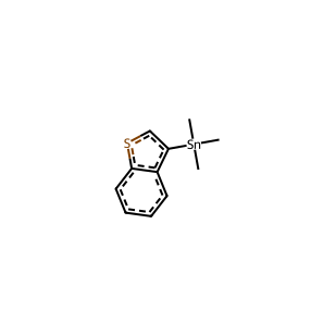 [CH3][Sn]([CH3])([CH3])[c]1csc2ccccc12